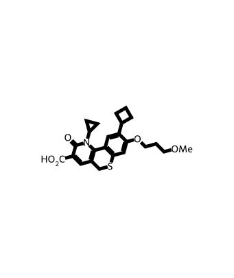 COCCCOc1cc2c(cc1C1CCC1)-c1c(cc(C(=O)O)c(=O)n1C1CC1)CS2